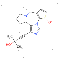 CC(C)(O)C#Cc1ncn2c1C1CCCN1Cc1cc[s+]([O-])c1-2